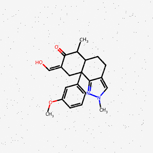 COc1cccc(C23CC(=CO)C(=O)C(C)C2CCc2cn(C)nc23)c1